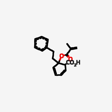 C=C(C)C(=O)OC1(CCc2ccccc2)C=CC=CC1C(=O)O